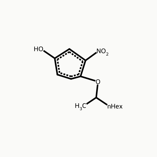 CCCCCCC(C)Oc1ccc(O)cc1[N+](=O)[O-]